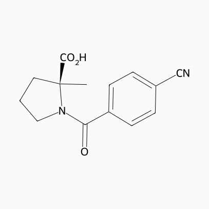 C[C@@]1(C(=O)O)CCCN1C(=O)c1ccc(C#N)cc1